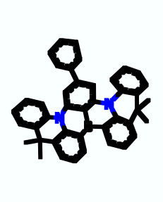 CC1(C)c2ccccc2N2c3cc(-c4ccccc4)cc4c3B(c3cccc1c32)c1cccc2c1N4c1ccccc1C2(C)C